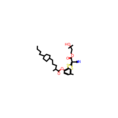 CCCCC1CCC(CCCC(C)C(=O)Oc2ccc(C)c3c2S/C(=C(/C#N)C(=O)OCCC(C)(C)O)S3)CC1